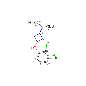 CC(C)(C)N(C(=O)O)[C@H]1C[C@H](Oc2cccc(Cl)c2Cl)C1